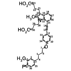 Cc1cc(CCCCOc2ccc(C#Cc3cccc4c(CCCC(=O)O)c(C)n(CCCC(=O)O)c34)cc2)ccc1F